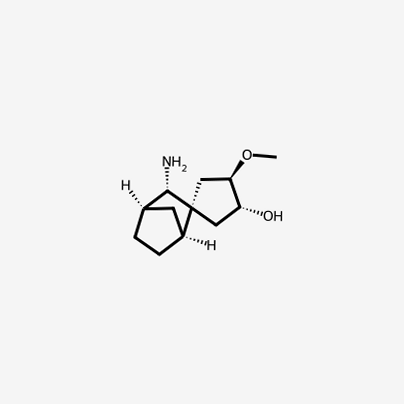 CO[C@@H]1C[C@]2(C[C@H]1O)[C@H]1CC[C@H](C1)[C@@H]2N